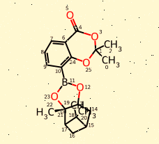 CC1(C)OC(=O)c2cccc(B3OC4CC5CC(C5(C)C)[C@]4(C)O3)c2O1